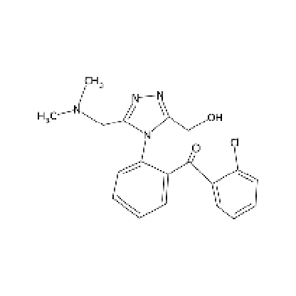 CN(C)Cc1nnc(CO)n1-c1ccccc1C(=O)c1ccccc1Cl